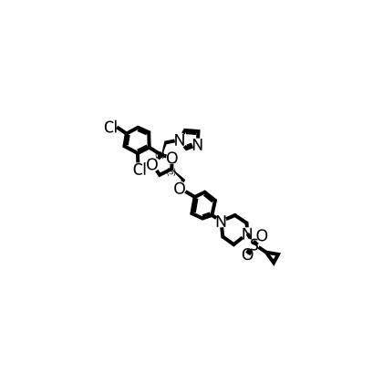 O=S(=O)(C1CC1)N1CCN(c2ccc(OC[C@H]3CO[C@](Cn4ccnc4)(c4ccc(Cl)cc4Cl)O3)cc2)CC1